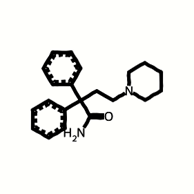 NC(=O)C(CCN1CCCCC1)(c1ccccc1)c1ccccc1